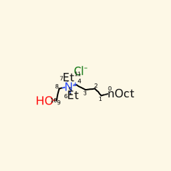 CCCCCCCCCCCC[N+](CC)(CC)CCO.[Cl-]